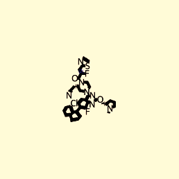 CN1CCC[C@H]1COc1nc(N2CCN(C(=O)/C(F)=C/c3nccs3)[C@@H](CC#N)C2)c2ccc(-c3cccc4cccc(Cl)c34)c(F)c2n1